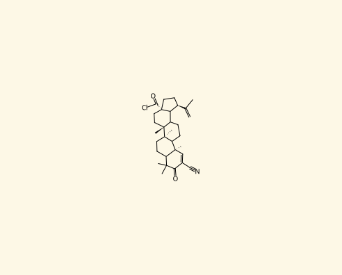 C=C(C)[C@@H]1CC[C@]2(C(=O)Cl)CC[C@]3(C)C(CCC4[C@@]5(C)C=C(C#N)C(=O)C(C)(C)C5CC[C@]43C)C12